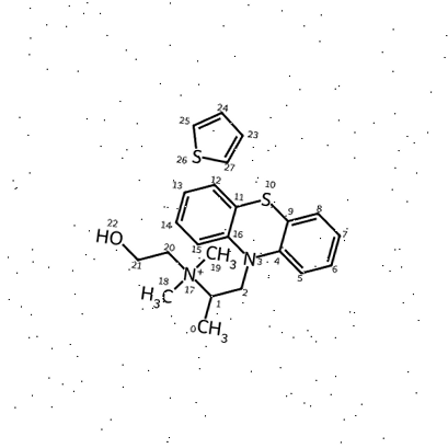 CC(CN1c2ccccc2Sc2ccccc21)[N+](C)(C)CCO.c1ccsc1